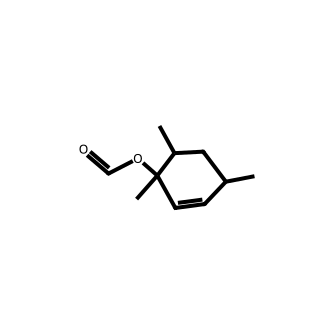 CC1C=CC(C)(OC=O)C(C)C1